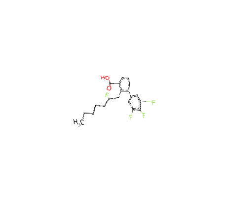 CCCCCC(F)Cc1c(C(=O)O)cccc1-c1cc(F)c(F)c(F)c1